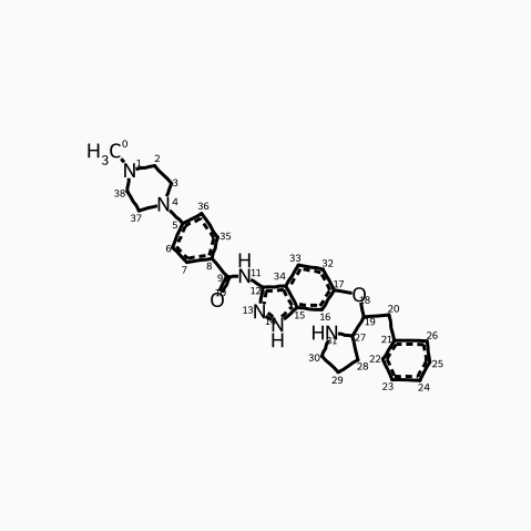 CN1CCN(c2ccc(C(=O)Nc3n[nH]c4cc(OC(Cc5ccccc5)C5CCCN5)ccc34)cc2)CC1